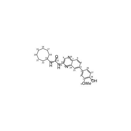 COc1cc(-c2ccc3ncc(NC(=O)NC4CCCCCCC4)nc3c2)ccc1O